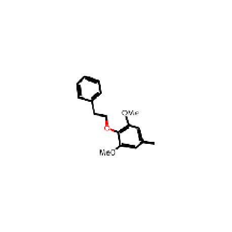 COc1cc(C)cc(OC)c1OCCc1ccccc1